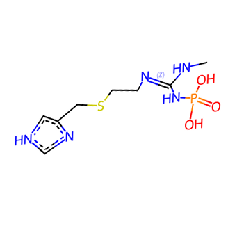 CN/C(=N/CCSCc1c[nH]cn1)NP(=O)(O)O